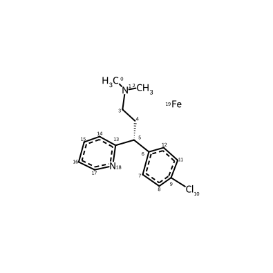 CN(C)CC[C@H](c1ccc(Cl)cc1)c1ccccn1.[Fe]